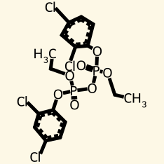 CCOP(=O)(Oc1ccc(Cl)cc1Cl)OP(=O)(OCC)Oc1ccc(Cl)cc1Cl